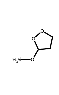 [SiH3]OC1CCOO1